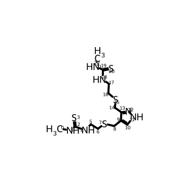 CNC(=S)NCCSCc1c[nH]nc1CSCCNC(=S)NC